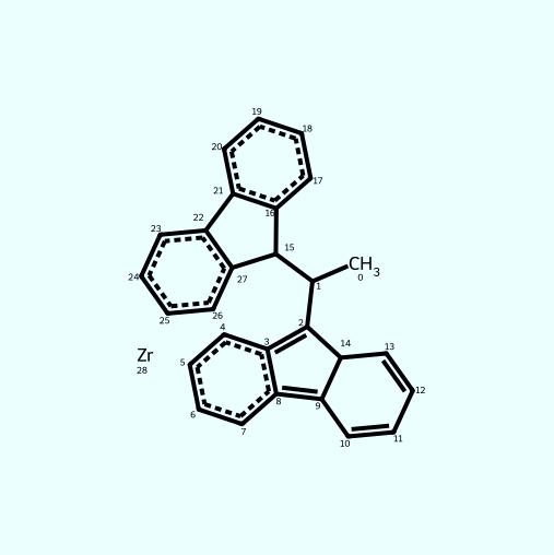 CC(C1=c2ccccc2=C2C=CC=CC21)C1c2ccccc2-c2ccccc21.[Zr]